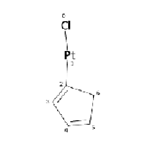 [Cl][Pt][C]1=CC=CC1